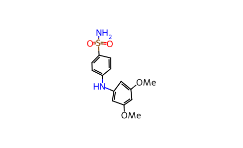 COc1cc(Nc2ccc(S(N)(=O)=O)cc2)cc(OC)c1